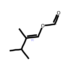 C/C(=C\O[C]=O)C(C)C